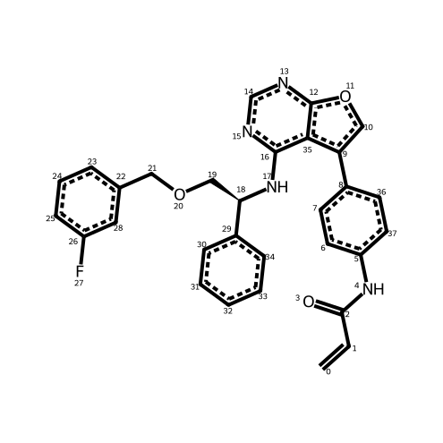 C=CC(=O)Nc1ccc(-c2coc3ncnc(N[C@H](COCc4cccc(F)c4)c4ccccc4)c23)cc1